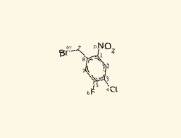 O=[N+]([O-])c1cc(Cl)c(F)cc1CBr